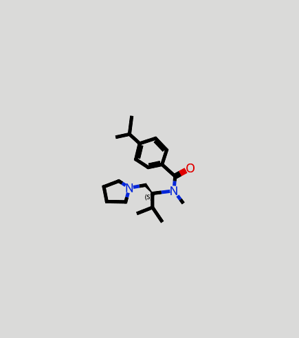 CC(C)c1ccc(C(=O)N(C)[C@H](CN2CCCC2)C(C)C)cc1